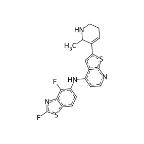 CC1NCCC=C1c1cc2c(Nc3ccc4sc(F)nc4c3F)ccnc2s1